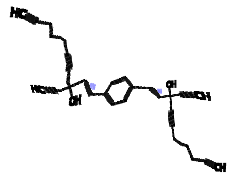 C#CCCCC#CC(O)(C#C)/C=C/c1ccc(/C=C/C(O)(C#C)C#CCCCC#C)cc1